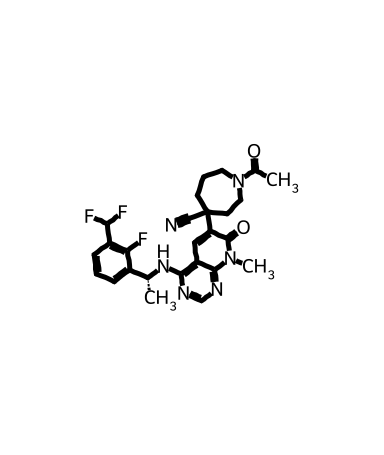 CC(=O)N1CCCC(C#N)(c2cc3c(N[C@H](C)c4cccc(C(F)F)c4F)ncnc3n(C)c2=O)CC1